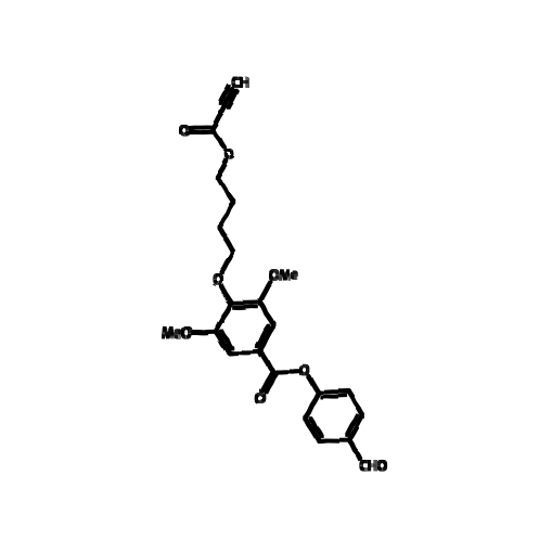 C#CC(=O)OCCCCOc1c(OC)cc(C(=O)Oc2ccc(C=O)cc2)cc1OC